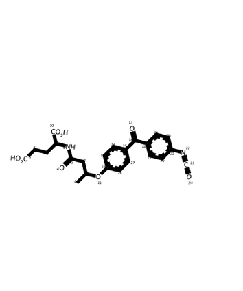 CC(CC(=O)NC(CCC(=O)O)C(=O)O)Oc1ccc(C(=O)c2ccc(N=C=O)cc2)cc1